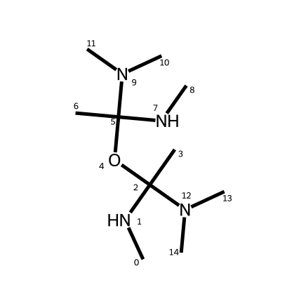 CNC(C)(OC(C)(NC)N(C)C)N(C)C